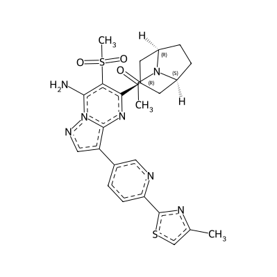 CC(=O)N1[C@@H]2CC[C@H]1C[C@@H](c1nc3c(-c4ccc(-c5nc(C)cs5)nc4)cnn3c(N)c1S(C)(=O)=O)C2